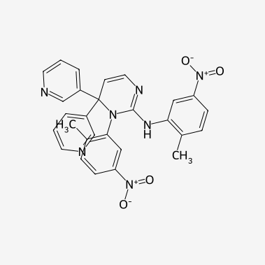 Cc1ccc([N+](=O)[O-])cc1NC1=NC=CC(c2cccnc2)(c2cccnc2)N1c1cc([N+](=O)[O-])ccc1C